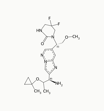 COC[C@H](c1cnn2cc([C@@H](N)C(C)OC3(C)CC3)nc2c1)N1CC(F)(F)CNC1=O